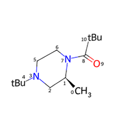 C[C@H]1CN(C(C)(C)C)CCN1C(=O)C(C)(C)C